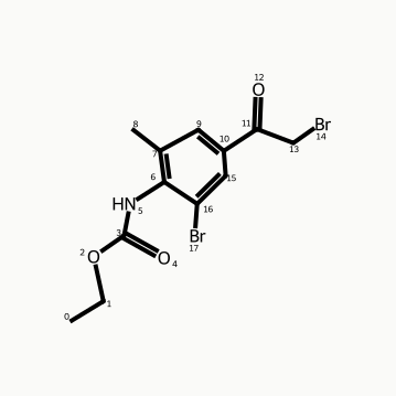 CCOC(=O)Nc1c(C)cc(C(=O)CBr)cc1Br